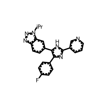 CC(C)n1nnc2ccc(-c3[nH]c(-c4cccnc4)nc3-c3ccc(F)cc3)cc21